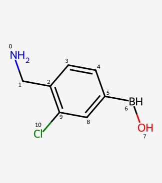 NCc1ccc(BO)cc1Cl